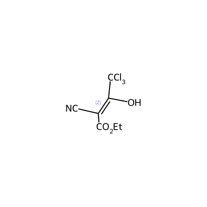 CCOC(=O)/C(C#N)=C(\O)C(Cl)(Cl)Cl